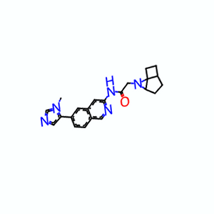 Cn1cncc1-c1ccc2cnc(NC(=O)CN3C4CCC5CCC543)cc2c1